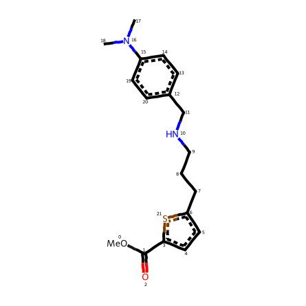 COC(=O)c1ccc(CCCNCc2ccc(N(C)C)cc2)s1